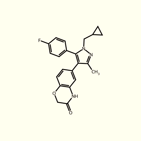 Cc1nn(CC2CC2)c(-c2ccc(F)cc2)c1-c1ccc2c(c1)NC(=O)CO2